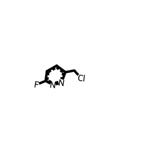 Fc1ccc(CCl)nn1